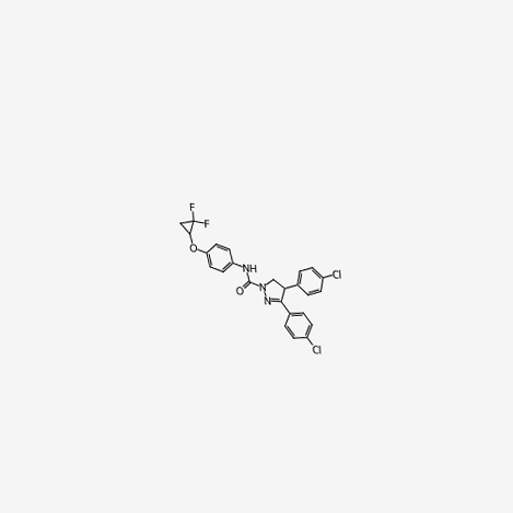 O=C(Nc1ccc(OC2CC2(F)F)cc1)N1CC(c2ccc(Cl)cc2)C(c2ccc(Cl)cc2)=N1